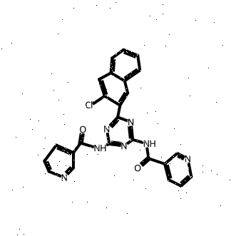 O=C(Nc1nc(NC(=O)c2cccnc2)nc(-c2cc3ccccc3cc2Cl)n1)c1cccnc1